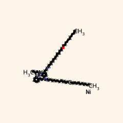 CCCCCCCCCCCCCCCCCCCCCCCCCC/C=C/CCc1ccccc1/N=C(\C=N\c1ccccc1CC/C=C/CCCCCCCCCCCCCCCCCCCCCCCCCC)CCCC.[Ni]